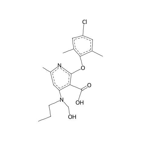 CCCN(CO)c1cc(C)nc(Oc2c(C)cc(Cl)cc2C)c1C(=O)O